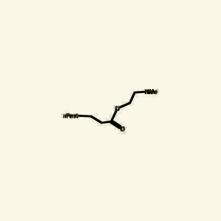 CCCCCCCC(=O)OCCNC